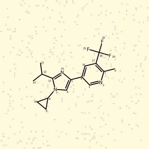 Cc1ncc(-c2cn(C3CC3)c(C(C)C)n2)cc1C(F)(F)F